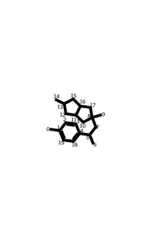 Cc1ccc(C(C)CC2(C)CC3CC(C)CC3C2)cc1